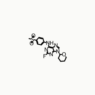 CS(=O)(=O)c1ccc(Nc2nc(F)nc3c2ncn3C2CCCCO2)cc1